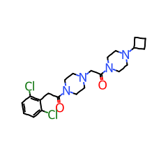 O=C(Cc1c(Cl)cccc1Cl)N1CCN(CC(=O)N2CCN(C3CCC3)CC2)CC1